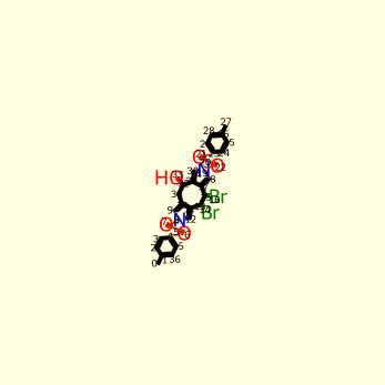 Cc1ccc(S(=O)(=O)n2cc3c(c2)C(Br)C(Br)c2cn(S(=O)(=O)c4ccc(C)cc4)cc2C(O)C3)cc1